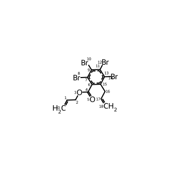 C=CCOC(=O)c1c(Br)c(Br)c(Br)c(Br)c1CC=C